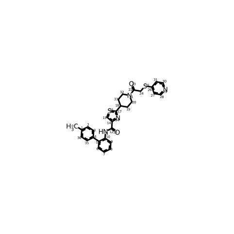 Cc1ccc(-c2ccccc2NC(=O)c2csc(C3CCN(C(=O)CSc4ccncc4)CC3)n2)cc1